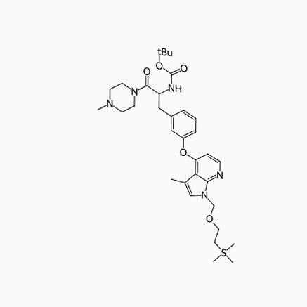 Cc1cn(COCCS(C)(C)C)c2nccc(Oc3cccc(CC(NC(=O)OC(C)(C)C)C(=O)N4CCN(C)CC4)c3)c12